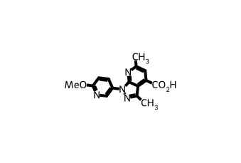 COc1ccc(-n2nc(C)c3c(C(=O)O)cc(C)nc32)cn1